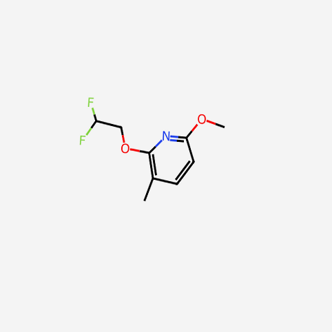 COc1ccc(C)c(OCC(F)F)n1